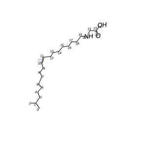 CC(C)CCCCCCC/C=C\CCCCCCCCNCC(=O)O